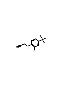 N#CCNc1ccc(C(F)(F)F)cc1Cl